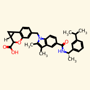 Cc1c(C)n(Cc2ccc3c(c2)OC(C(=O)O)[C@@H]2CC32)c2ccc(C(=O)N[C@@H](C)c3cccc(C(C)C)c3)cc12